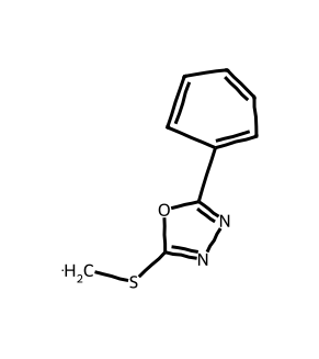 [CH2]Sc1nnc(-c2ccccc2)o1